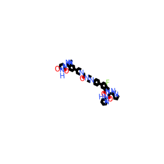 Cn1nc(N2CCC(=O)NC2=O)c2ccc(C3CCN(CC(=O)N4CCN(c5ccc(-c6cc(F)c7c(c6)C(=O)N([C@H](C(=O)Nc6ccccn6)c6ncn8c6CCC8)C7)cc5)CC4)CC3)cc21